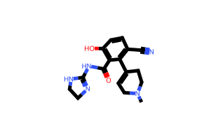 CN1CC=C(c2c(C#N)ccc(O)c2C(=O)NC2=NCCN2)CC1